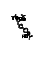 C=C(C)C(=C)OCC(COC(=O)C(=C)C)Cc1ccc(-c2ccc(OC(O)C(=C)C)cc2)cc1